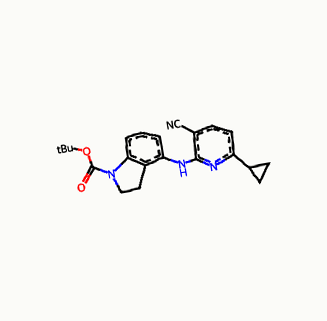 CC(C)(C)OC(=O)N1CCc2c(Nc3nc(C4CC4)ccc3C#N)cccc21